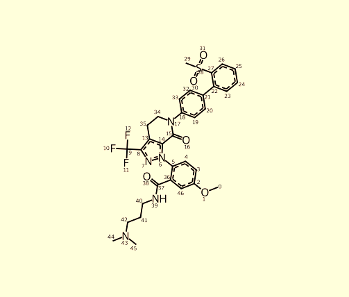 COc1ccc(-n2nc(C(F)(F)F)c3c2C(=O)N(c2ccc(-c4ccccc4S(C)(=O)=O)cc2)CC3)c(C(=O)NCCCN(C)C)c1